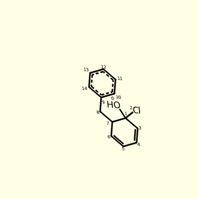 OC1(Cl)C=CC=CC1Cc1ccccc1